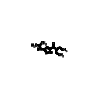 CCN(CC)C(=O)c1cc(NC(C)C)n[nH]1